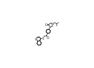 CC(C)CN1CC(=O)N(c2ccc(C(=O)CSc3ccnc4ccccc34)cc2)C1